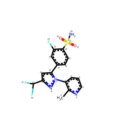 Cc1ncccc1-n1nc(C(F)F)cc1-c1ccc(S(N)(=O)=O)c(F)c1